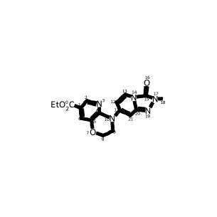 CCOC(=O)c1cnc2c(c1)OCCN2c1ccn2c(=O)n(C)nc2c1